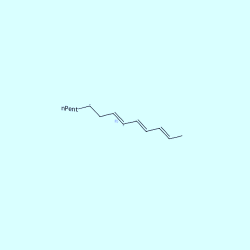 CC=CC=C/[C]=C/C[CH]CCCCC